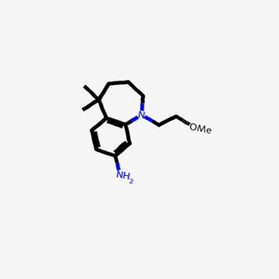 COCCN1CCCC(C)(C)c2ccc(N)cc21